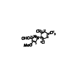 COc1cn(-c2c(Cl)cc(C(F)(F)F)cc2Cl)nc1C=O